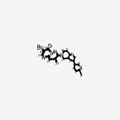 Cc1ccc(-c2cnc3c(c2)CN(c2nn4c(=O)c(Br)cnc4cc2C)CC3)cn1